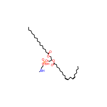 CCCCC/C=C\C/C=C\CCCCCCCC(=O)OC(COC(=O)CCCCCCCCCCCCCC)COP(=O)(O)OCCNC